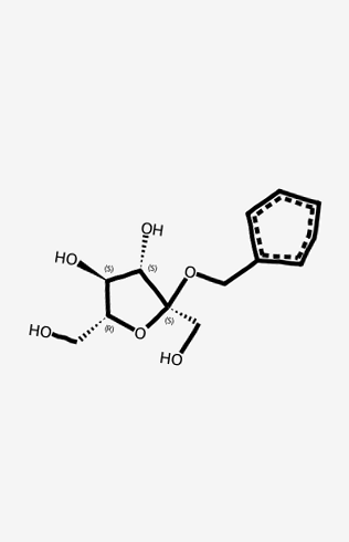 OC[C@H]1O[C@](CO)(OCc2ccccc2)[C@@H](O)[C@@H]1O